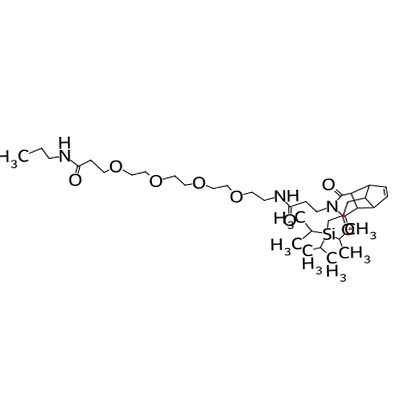 CCCNC(=O)CCOCCOCCOCCOCCNC(=O)CCN1C(=O)C2C3C=CC(C3CCC[Si](C(C)C)(C(C)C)C(C)C)C2C1=O